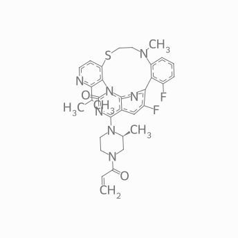 C=CC(=O)N1CCN(c2nc(=O)n3c4nc(c(F)cc24)-c2c(F)cccc2N(C)CCSc2ccnc(C(C)C)c2-3)[C@@H](C)C1